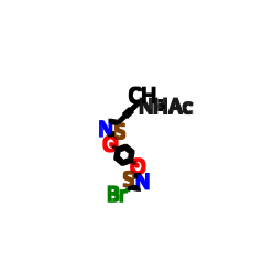 CC(=O)NC(C)C#Cc1cnc(Oc2ccc(Oc3ncc(Br)s3)cc2)s1